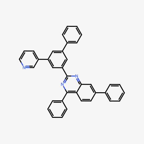 c1ccc(-c2cc(-c3cccnc3)cc(-c3nc(-c4ccccc4)c4ccc(-c5ccccc5)cc4n3)c2)cc1